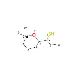 CCC(S)C1CCC[Si](C)(C)O1